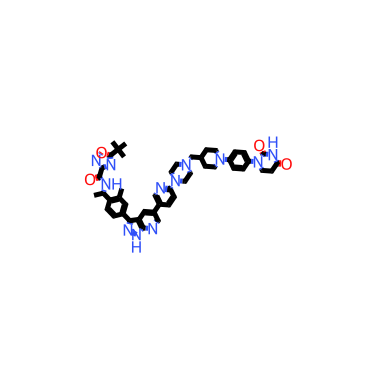 Cc1cc(-c2n[nH]c3ncc(-c4ccc(N5CCN(CC6CCN(c7ccc(N8CCC(=O)NC8=O)cc7)CC6)CC5)nc4)cc23)ccc1C(C)NC(=O)c1noc(C(C)(C)C)n1